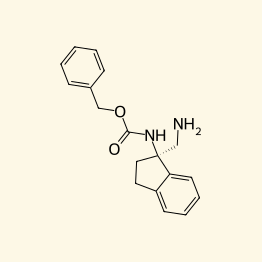 NC[C@@]1(NC(=O)OCc2ccccc2)CCc2ccccc21